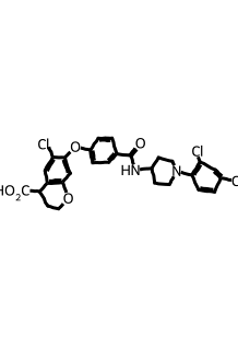 O=C(NC1CCN(c2ccc(Cl)cc2Cl)CC1)c1ccc(Oc2cc3c(cc2Cl)C(C(=O)O)CCO3)cc1